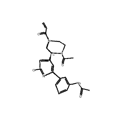 C=CC(=O)N1CCN(C(C)=O)[C@@H](c2cc(Cl)nc(-c3cccc(NC(C)=O)c3)c2)C1